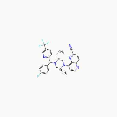 CC[C@@H]1CN(c2c[c]nc3ccc(C#N)nc23)[C@@H](C)CN1C(c1ccc(F)cc1)c1ccc(C(F)(F)F)cn1